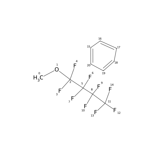 COC(F)(F)C(F)(F)C(F)(F)C(F)(F)F.c1ccccc1